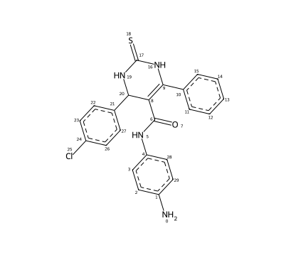 Nc1ccc(NC(=O)C2=C(c3ccccc3)NC(=S)NC2c2ccc(Cl)cc2)cc1